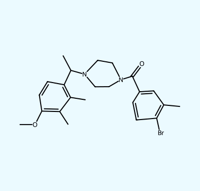 COc1ccc(C(C)N2CCN(C(=O)c3ccc(Br)c(C)c3)CC2)c(C)c1C